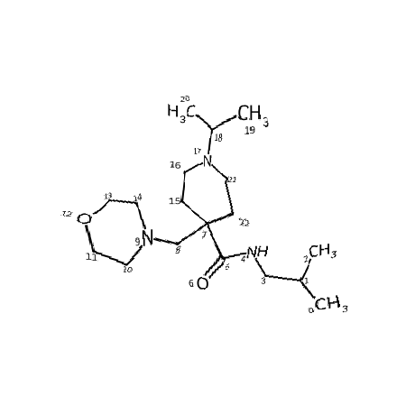 CC(C)CNC(=O)C1(CN2CCOCC2)CCN(C(C)C)CC1